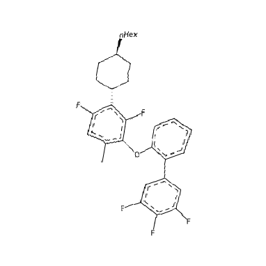 CCCCCC[C@H]1CC[C@H](c2c(F)cc(C)c(Oc3ccccc3-c3cc(F)c(F)c(F)c3)c2F)CC1